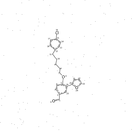 O=Cc1ccc(OCCCCCc2ccc(Cl)cc2)c(-c2ccco2)c1